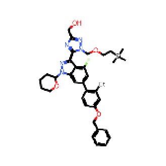 CCc1cc(OCc2ccccc2)ccc1-c1cc(F)c2c(-c3nc(CO)nn3COCC[Si](C)(C)C)nn(C3CCCCO3)c2c1